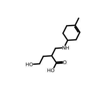 CC1=CCC(NCC(CCO)C(=O)O)CC1